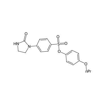 CCCOc1ccc(OS(=O)(=O)c2ccc(N3CCNC3=O)cc2)cc1